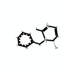 CC1=NC=C[C@H](C)N1Cc1ccccc1